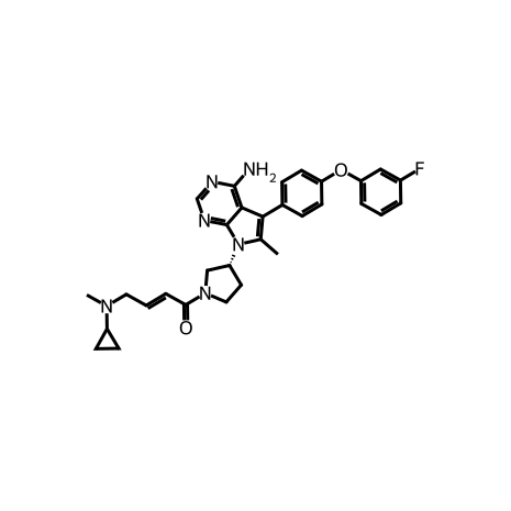 Cc1c(-c2ccc(Oc3cccc(F)c3)cc2)c2c(N)ncnc2n1[C@@H]1CCN(C(=O)/C=C/CN(C)C2CC2)C1